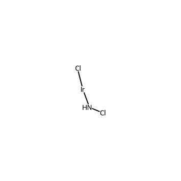 Cl[NH][Ir][Cl]